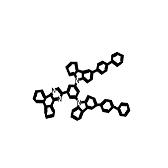 c1ccc(-c2ccc(-c3ccc4c(c3)c3ccccc3n4-c3cc(-c4cnc5c6ccccc6c6ccccc6c5n4)cc(-n4c5ccccc5c5cc(-c6ccc(-c7ccccc7)cc6)ccc54)c3)cc2)cc1